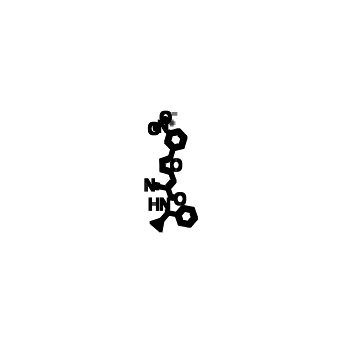 N#C/C(=C\c1ccc(-c2cccc([N+](=O)[O-])c2)o1)C(=O)NC(c1ccccc1)C1CC1